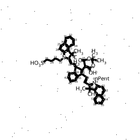 CCCCC[N+]1=C(/C=C/C2=C(C3=C(O)OC(C)(C)OC3=O)C(=C/C=C3/N(CCCCS(=O)(=O)O)c4ccc5ccccc5c4C3(C)C)/c3ccccc32)C(C)(C)c2c1ccc1ccccc21